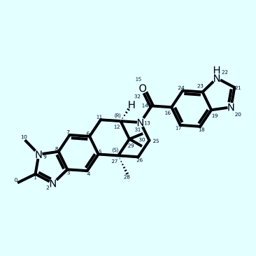 Cc1nc2cc3c(cc2n1C)C[C@H]1N(C(=O)c2ccc4nc[nH]c4c2)CC[C@]3(C)C1(C)C